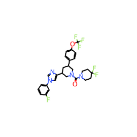 O=C(N1CCC(F)(F)CC1)N1CC(c2ccc(OC(F)(F)F)cc2)CC(c2cn(-c3cccc(F)c3)cn2)C1